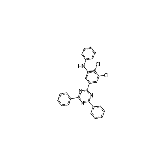 Clc1cc(-c2nc(-c3ccccc3)nc(-c3ccccc3)n2)cc(Nc2ccccc2)c1Cl